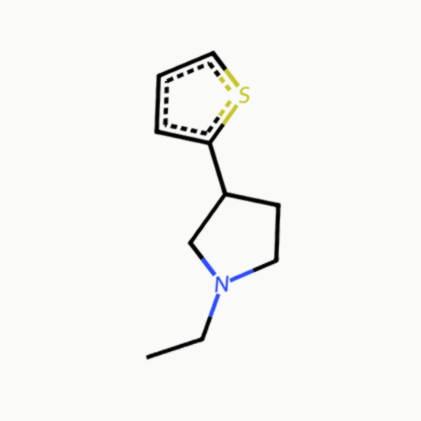 CCN1CCC(c2cccs2)C1